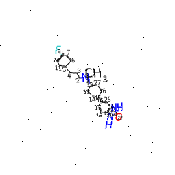 CN(CCCc1ccc(F)cc1)C1CCC(c2ccc3[nH]c(=O)[nH]c3c2)CC1